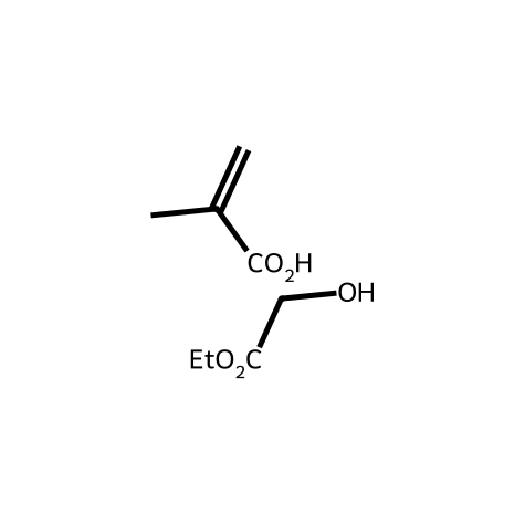 C=C(C)C(=O)O.CCOC(=O)CO